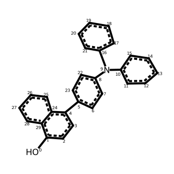 Oc1ccc(-c2ccc(N(c3ccccc3)c3ccccc3)cc2)c2ccccc12